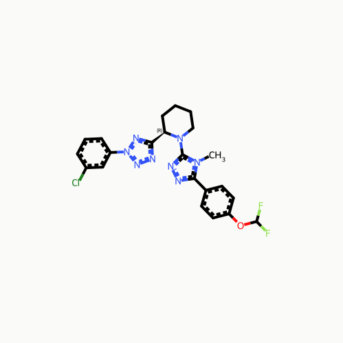 Cn1c(-c2ccc(OC(F)F)cc2)nnc1N1CCCC[C@@H]1c1nnn(-c2cccc(Cl)c2)n1